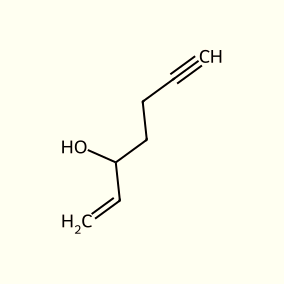 C#CCCC(O)C=C